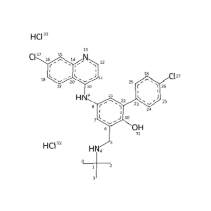 CC(C)(C)NCc1cc(Nc2ccnc3cc(Cl)ccc23)cc(-c2ccc(Cl)cc2)c1O.Cl.Cl